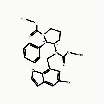 CC(C)(C)OC(=O)N(Cc1cc(Br)cc2ccoc12)[C@@H]1CCCN(C(=O)OC(C)(C)C)[C@@H]1c1ccccc1